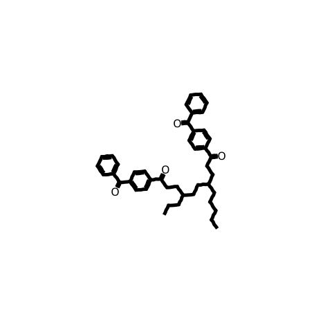 CCCCCC(CCC(=O)c1ccc(C(=O)c2ccccc2)cc1)CCC(CCC)CCC(=O)c1ccc(C(=O)c2ccccc2)cc1